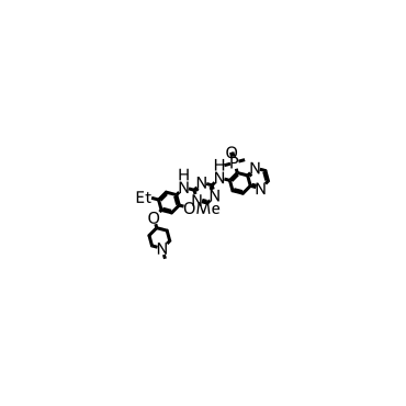 CCc1cc(Nc2ncnc(Nc3ccc4nccnc4c3P(C)(C)=O)n2)c(OC)cc1OC1CCN(C)CC1